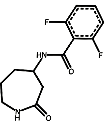 O=C1CC(NC(=O)c2c(F)cccc2F)CCCN1